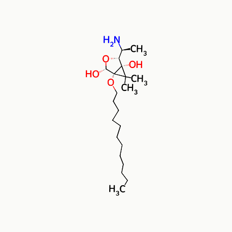 CCCCCCCCCCCCO[C@]12[C@H](O)O[C@H]([C@H](C)N)[C@@]1(O)C2(C)C